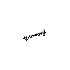 C=CC(=O)OCCOCCOCCOCCOC(=O)C(=C)C